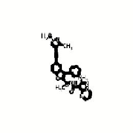 Cc1nn(C)cc1C#Cc1ccc2oc([C@H](C)NC(=O)c3c(N)nn4cccnc34)c(-c3ccccc3)c2c1